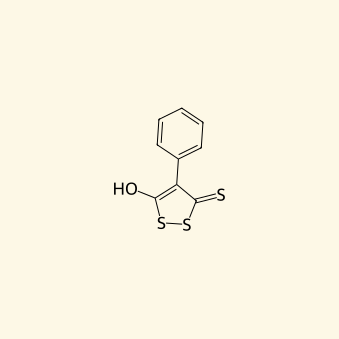 Oc1ssc(=S)c1-c1ccccc1